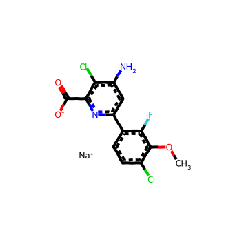 COc1c(Cl)ccc(-c2cc(N)c(Cl)c(C(=O)[O-])n2)c1F.[Na+]